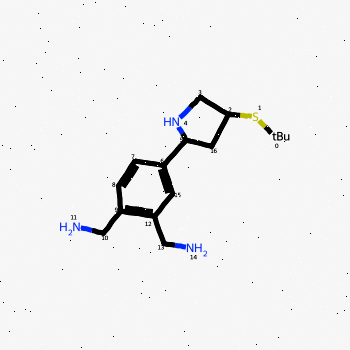 CC(C)(C)SC1CNC(c2ccc(CN)c(CN)c2)C1